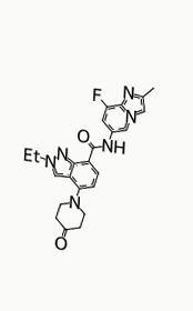 CCn1cc2c(N3CCC(=O)CC3)ccc(C(=O)Nc3cc(F)c4nc(C)cn4c3)c2n1